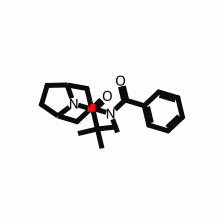 CN(C(=O)c1ccccc1)C1CC2CCC(C1)N2C(=O)C(C)(C)C